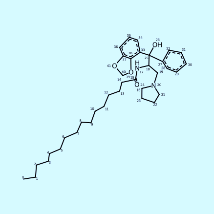 CCCCCCCCCCCCCCCC(=O)NC(CN1CCCC1)C(O)(c1ccccc1)c1cccc2c1OCO2